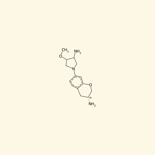 COC1CN(c2ccc3c(c2)OC[C@H](N)C3)CC1N